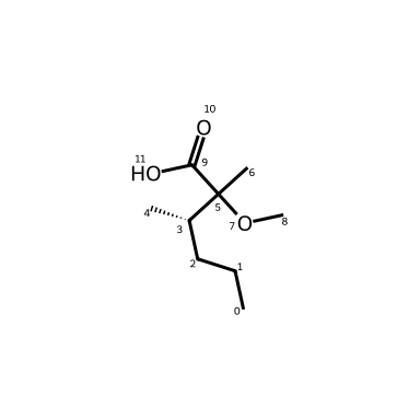 CCC[C@H](C)C(C)(OC)C(=O)O